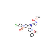 CCOc1ccccc1-c1ccc2c(n1)CN(C[C@H]1CCCN1C(=O)OC(C)(C)C)CC21CCN(c2ccc(Cl)cc2S(C)(=O)=O)CC1